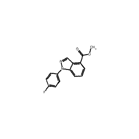 COC(=O)c1cccc2c1cnn2-c1ccc(F)cc1